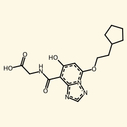 O=C(O)CNC(=O)c1c(O)cc(OCCC2CCCC2)n2ncnc12